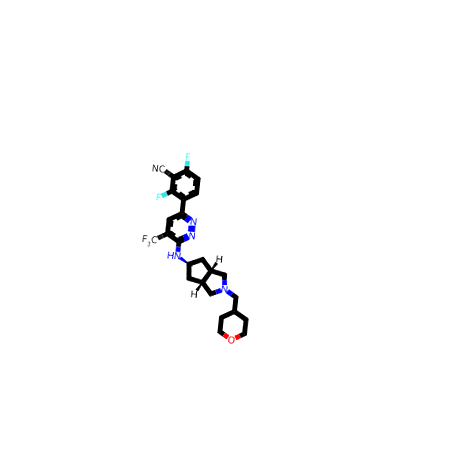 N#Cc1c(F)ccc(-c2cc(C(F)(F)F)c(N[C@H]3C[C@@H]4CN(CC5CCOCC5)C[C@@H]4C3)nn2)c1F